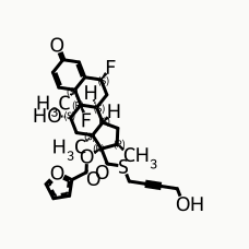 C[C@@H]1C[C@H]2[C@@H]3C[C@H](F)C4=CC(=O)C=C[C@]4(C)[C@@]3(F)[C@@H](O)C[C@]2(C)[C@@]1(OC(=O)c1ccco1)C(=O)SCC#CCO